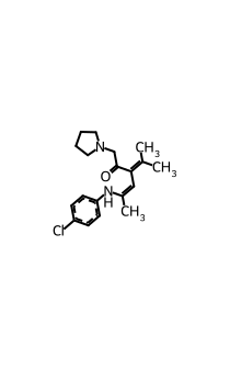 CC(C)=C(/C=C(/C)Nc1ccc(Cl)cc1)C(=O)CN1CCCC1